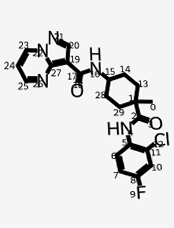 CC1(C(=O)Nc2ccc(F)cc2Cl)CCC(NC(=O)c2cnn3cccnc23)CC1